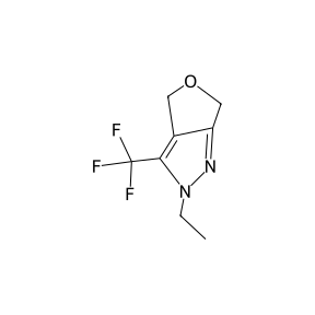 CCn1nc2c(c1C(F)(F)F)COC2